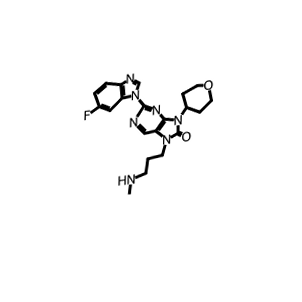 CNCCCn1c(=O)n(C2CCOCC2)c2nc(-n3cnc4ccc(F)cc43)ncc21